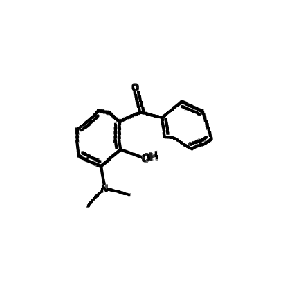 CN(C)c1cccc(C(=O)c2ccccc2)c1O